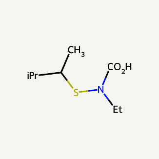 CCN(SC(C)C(C)C)C(=O)O